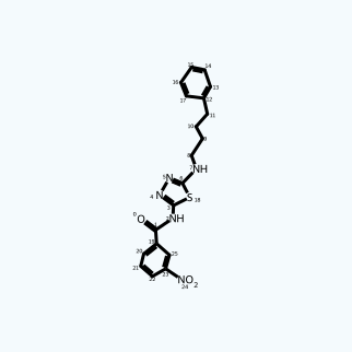 O=C(Nc1nnc(NCCCCc2ccccc2)s1)c1cccc([N+](=O)[O-])c1